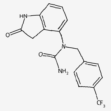 NC(=O)N(Cc1ccc(C(F)(F)F)cc1)c1cccc2c1CC(=O)N2